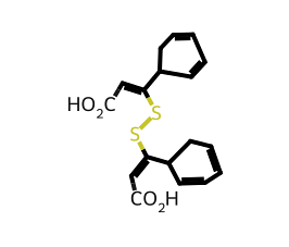 O=C(O)C=C(SSC(=CC(=O)O)C1C=CC=CC1)C1C=CC=CC1